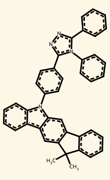 CC1(C)c2ccccc2-c2cc3c(cc21)c1ccccc1n3-c1ccc(-c2nnc(-c3ccccc3)n2-c2ccccc2)cc1